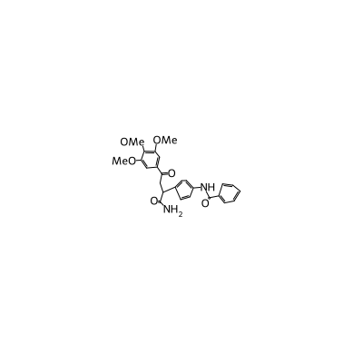 COc1cc(C(=O)CC(C(N)=O)c2ccc(NC(=O)c3ccccc3)cc2)cc(OC)c1OC